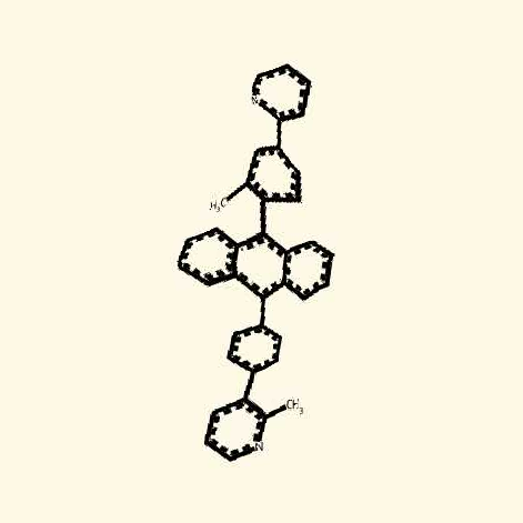 Cc1cc(-c2ccccn2)ccc1-c1c2ccccc2c(-c2ccc(-c3cccnc3C)cc2)c2ccccc12